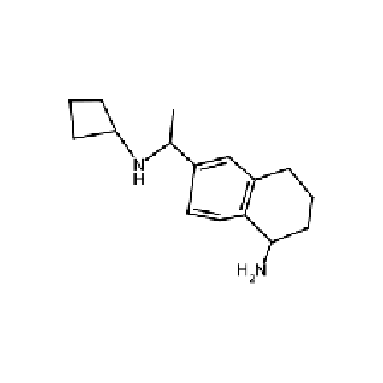 CC(NC1CCC1)c1ccc2c(c1)CCCC2N